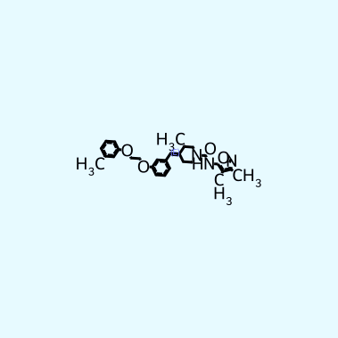 Cc1cccc(OCCOc2cccc(/C=C3\CCN(C(=O)Nc4onc(C)c4C)CC3C)c2)c1